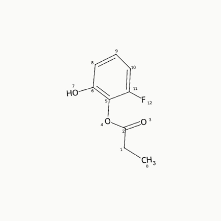 CCC(=O)Oc1c(O)cccc1F